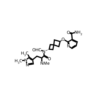 CNC(Cc1cnn(C)c1C)C(=O)N(C=O)[C@H]1CC2(C[C@H](Oc3ncccc3C(N)=O)C2)C1